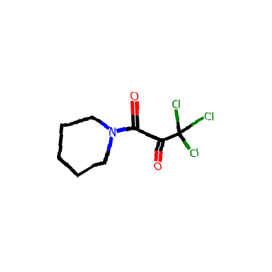 O=C(C(=O)C(Cl)(Cl)Cl)N1CCCCC1